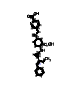 CC/C(=C\c1ccccc1)[C@@H]1C[C@H]1N[C@H]1CC[C@H](NCc2cnc(C(=O)O)nc2)CC1.Cl.Cl